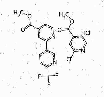 COC(=O)c1ccnc(-c2ccc(C(F)(F)F)nc2)c1.COC(=O)c1ccnc(Cl)c1.Cl